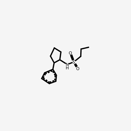 CCCS(=O)(=O)NC1CCCC1c1ccccc1